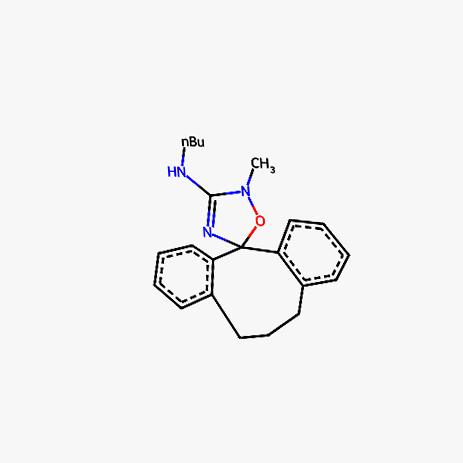 CCCCNC1=NC2(ON1C)c1ccccc1CCCc1ccccc12